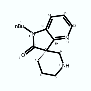 CCCCN1C(=O)[C@@]2(CCCNC2)c2ncccc21